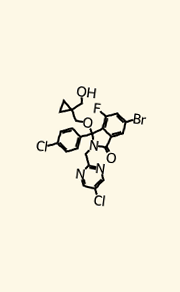 O=C1c2cc(Br)cc(F)c2C(OCC2(CO)CC2)(c2ccc(Cl)cc2)N1Cc1ncc(Cl)cn1